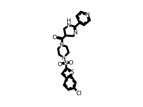 O=C(C1CN=C(c2ccncc2)NC1)N1CCN(S(=O)(=O)c2cc3ccc(Cl)cc3s2)CC1